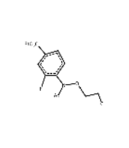 CCOC(=O)c1ccc(N(OCCCl)C(C)=O)c(F)c1